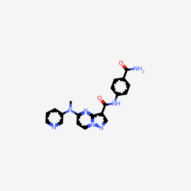 CN(c1cccnc1)c1ccn2ncc(C(=O)Nc3ccc(C(N)=O)cc3)c2n1